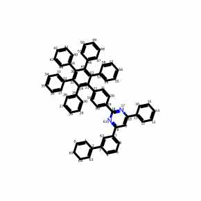 C1=CC(c2cccc(-c3cc(-c4ccccc4)nc(-c4ccc(-c5c(-c6ccccc6)c(-c6ccccc6)c(-c6ccccc6)c(-c6ccccc6)c5-c5ccccc5)cc4)n3)c2)=CCC1